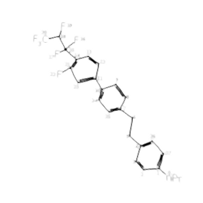 CCCc1ccc(CCc2ccc(-c3ccc(C(F)(F)C(F)C(F)(F)F)c(F)c3)cc2)cc1